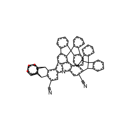 N#Cc1cc2c(c3c1C1c4ccccc4C3c3ccccc31)c1cc3c(c4c5c6c(c(C#N)cc5n2c14)C1c2ccccc2C12c1ccccc1C62)C1(c2ccccc2-c2ccccc21)c1ccccc1-3